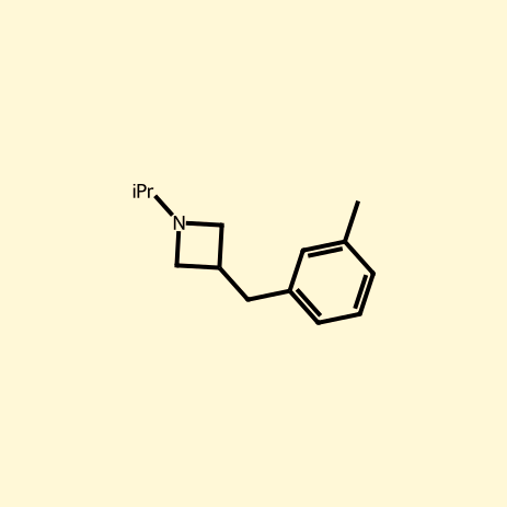 Cc1cccc(CC2CN(C(C)C)C2)c1